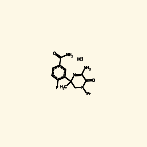 CC(C)N1CC(C)(c2cc(C(N)=O)ccc2F)N=C(N)C1=O.Cl